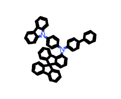 c1ccc(-c2ccc(N(c3ccc(-n4c5ccccc5c5ccccc54)cc3)c3cccc4c3-c3ccccc3C43c4ccccc4-c4ccccc43)cc2)cc1